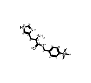 C[N+](C)(C)c1ccc(COC(=O)C(N)Cc2c[nH]cn2)cc1